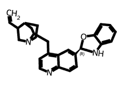 C=CC1CN2CCC1CC2Cc1ccnc2ccc([C@@H]3Nc4ccccc4O3)cc12